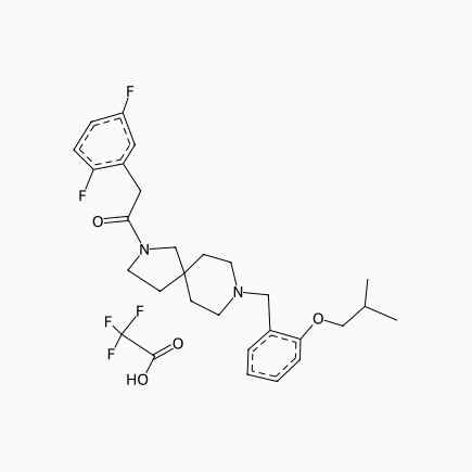 CC(C)COc1ccccc1CN1CCC2(CC1)CCN(C(=O)Cc1cc(F)ccc1F)C2.O=C(O)C(F)(F)F